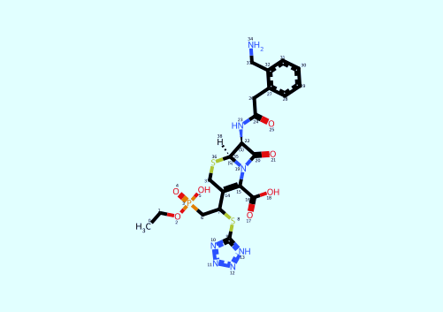 CCOP(=O)(O)CC(Sc1nnn[nH]1)C1=C(C(=O)O)N2C(=O)[C@H](NC(=O)Cc3ccccc3CN)[C@@H]2SC1